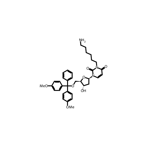 COc1ccc(C(OC[C@H]2O[C@@H](n3ccc(=O)n(CCCCCCN)c3=O)C[C@@H]2O)(c2ccccc2)c2ccc(OC)cc2)cc1